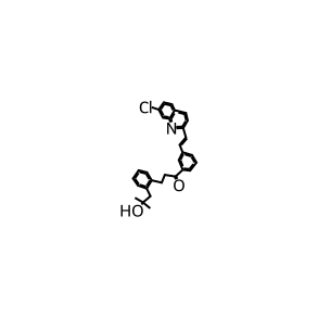 CC(C)(O)Cc1ccccc1CCC(=O)c1cccc(C=Cc2ccc3ccc(Cl)cc3n2)c1